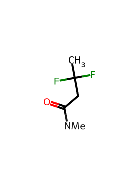 [CH2]NC(=O)CC(C)(F)F